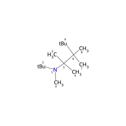 CN(C(C)(C)C)C(C)(C)C(C)(C)C(C)(C)C